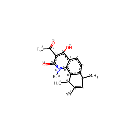 CCCC1=CC(C)c2ccc3c(O)c(C(=O)C(F)(F)F)c(=O)n(CC)c3c2C1C